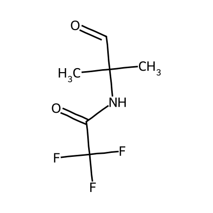 CC(C)(C=O)NC(=O)C(F)(F)F